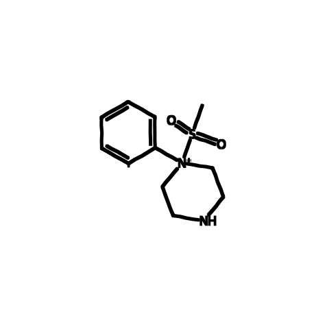 CS(=O)(=O)[N+]1(c2[c]cccc2)CCNCC1